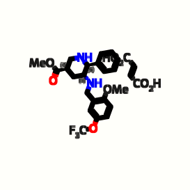 COC(=O)[C@H]1CN[C@@H](c2ccccc2)[C@@H](NCc2cc(OC(F)(F)F)ccc2OC)C1.O=C(O)C=CC(=O)O